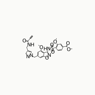 C#CC(=O)NCc1cnn(Cc2cc(OC)c3c(NS(=O)(=O)c4ccc(C(=O)OC)cc4OC)noc3c2)c1